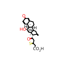 C=C1C[C@H]2[C@@H]3CCC4=CC(=O)C=C[C@]4(C)[C@H]3[C@@H](O)C[C@]2(C)[C@H]1C(=O)CC(=S)CC(=O)O